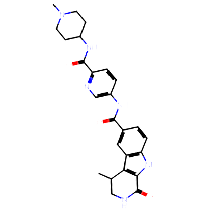 CC1CNC(=O)c2[nH]c3ccc(C(=O)Nc4ccc(C(=O)NC5CCN(C)CC5)nc4)cc3c21